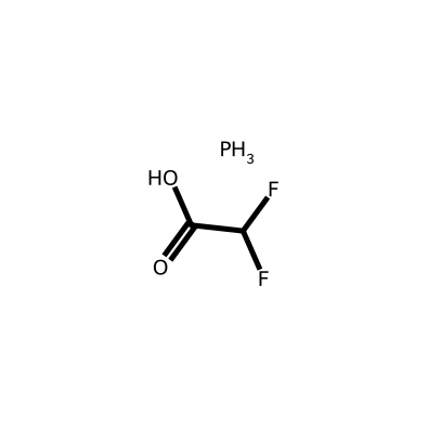 O=C(O)C(F)F.P